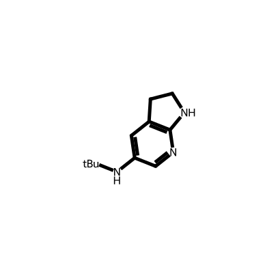 CC(C)(C)Nc1cnc2c(c1)CCN2